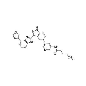 CCCCC(=O)Nc1cncc(-c2cnc3[nH]nc(-c4nc5c(-c6ccoc6)nccc5[nH]4)c3c2)c1